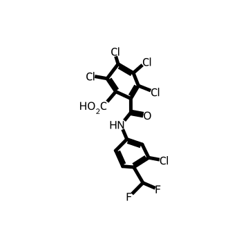 O=C(O)c1c(Cl)c(Cl)c(Cl)c(Cl)c1C(=O)Nc1ccc(C(F)F)c(Cl)c1